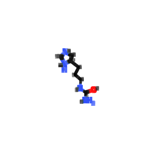 NC(=O)[N]CCCc1cnc[nH]1